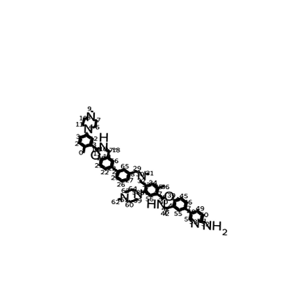 Cc1ccc(N2CCN(C)CC2)cc1C(=O)N[C@H](C)c1cccc(-c2cccc(CN(C)Cc3cc(C)c(C(=O)N[C@H](C)c4cccc(-c5ccc(N)nc5)c4)cc3N3CCN(C)CC3)c2)c1